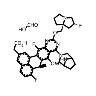 C#Cc1c(F)ccc2cc(CC(=O)O)cc(-c3c(F)c(OC)c4c(N5CC6CCC(C5)N6)nc(OC[C@@]56CCCN5C[C@H](F)C6)nc4c3F)c12.O=CO